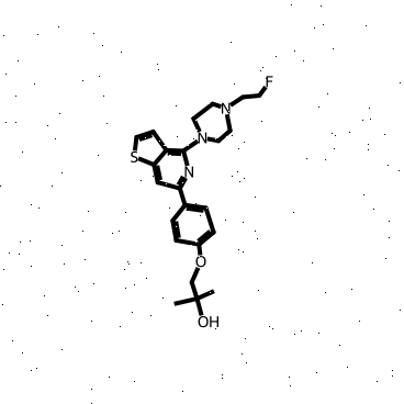 CC(C)(O)COc1ccc(-c2cc3sccc3c(N3CCN(CCF)CC3)n2)cc1